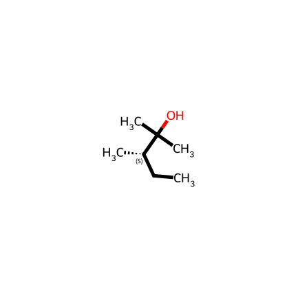 CC[C@H](C)C(C)(C)O